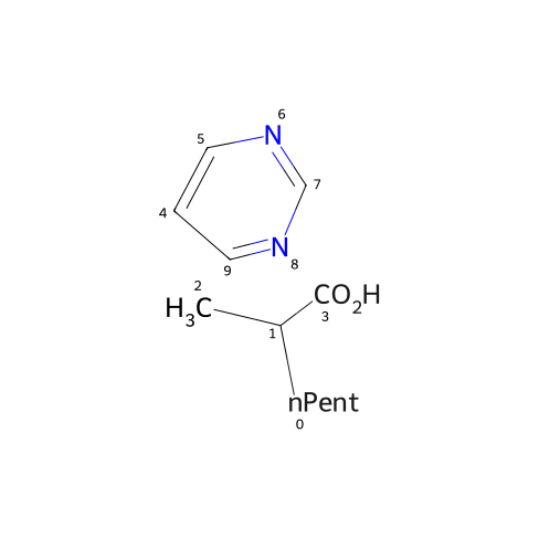 CCCCCC(C)C(=O)O.c1cncnc1